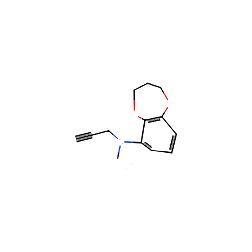 C#CCN(C(=O)O)c1cccc2c1OCCCO2